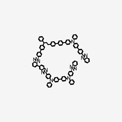 c1ccc(C(CCc2ccc(-c3ccc(-c4ccc(N(c5ccccc5)c5ccc(-c6ccc(-n7nc8ccccc8n7)cc6)cc5)cc4)cc3)cc2)c2ccc(-c3ccc(-n4nc5cccc(-c6ccc7nn(-c8ccc(N(c9ccccc9)c9ccc(-c%10ccc(N(c%11ccccc%11)c%11ccc(-n%12nc%13ccccc%13n%12)cc%11)cc%10)cc9)cc8)nc7c6)c5n4)cc3)cc2)cc1